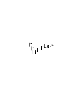 [I-].[I-].[I-].[I-].[La+3].[Li+]